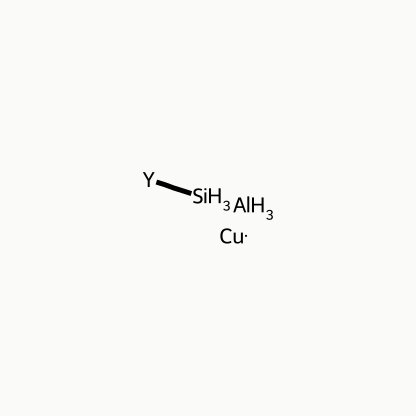 [AlH3].[Cu].[SiH3][Y]